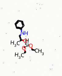 CCO[SiH](OCC)OC(C)CNc1ccccc1